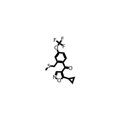 CSCc1cc(OC(F)(F)F)ccc1C(=O)c1cnoc1C1CC1